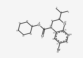 CC(C)C1CN(C(=O)OC2CCCCC2)c2cc(Br)cnc2O1